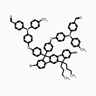 CCCCC1(CCCC)c2cc(Br)ccc2-c2cc3c(cc21)-c1ccc(Br)cc1C3(c1ccc(Oc2ccc(N(c3ccc(C)cc3)c3ccc(C=O)cc3)cc2)cc1)c1ccc(Oc2ccc(N(c3ccc(C)cc3)c3ccc(C=O)cc3)cc2)cc1